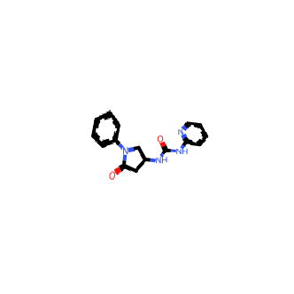 O=C(Nc1ccccn1)NC1CC(=O)N(c2ccccc2)C1